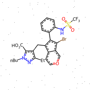 CCCCn1nc(CC)c(Cc2c3ccocc-3c(Br)c2-c2ccccc2NS(=O)(=O)C(F)(F)F)c1C(=O)O